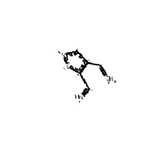 C=Cc1cnsc1C=N